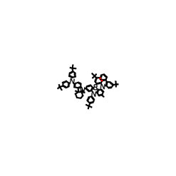 Cc1cc2c3c(c1)N(c1ccc(C(C)(C)C)cc1-c1ccccc1)c1ccc(C(C)(C)C)cc1B3c1ccc(N3c4ccc(N(c5ccc(C(C)(C)C)cc5)c5ccc(C(C)(C)C)cc5)cc4C4(C)CCCCC34C)cc1N2c1ccc(C(C)(C)C)cc1